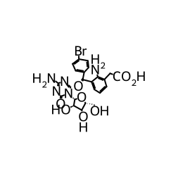 Nc1c(CC(=O)O)cccc1C(=O)c1ccc(Br)cc1.Nc1ncn([C@@H]2O[C@H](CO)[C@@H](O)[C@H]2O)c(=O)n1